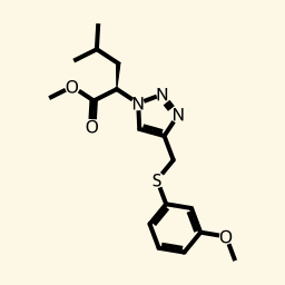 COC(=O)[C@@H](CC(C)C)n1cc(CSc2cccc(OC)c2)nn1